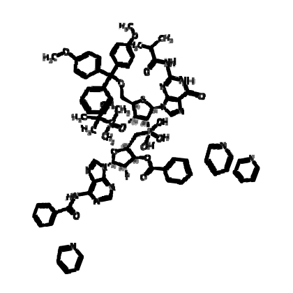 COc1ccc(C(OC[C@H]2S[C@@H](n3cnc4c(=O)[nH]c(NC(=O)C(C)C)nc43)[C@H](P(O)(O)(O)C[C@@H]3O[C@@H](n4cnc5c(NC(=O)c6ccccc6)ncnc54)[C@@H](F)[C@@H]3OC(=O)c3ccccc3)[C@@H]2O[Si](C)(C)C(C)(C)C)(c2ccccc2)c2ccc(OC)cc2)cc1.c1ccncc1.c1ccncc1.c1ccncc1